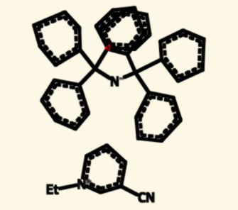 CC[n+]1cccc(C#N)c1.c1ccc(C([N-]C(c2ccccc2)(c2ccccc2)c2ccccc2)(c2ccccc2)c2ccccc2)cc1